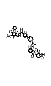 CC(=O)c1c(C)c2cnc(Nc3ccc(N4CCCN(C(=O)CNc5cccc6c5C(=O)N(C5CCC(=O)NC5=O)C6=O)CC4)cn3)nc2n(C2CCCC2)c1=O